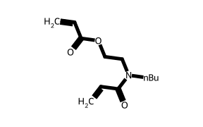 C=CC(=O)OCCN(CCCC)C(=O)C=C